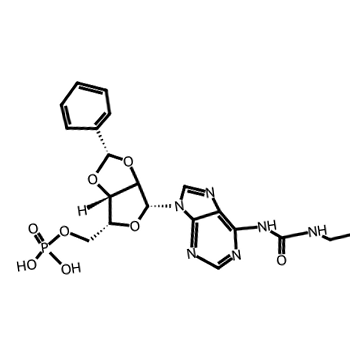 CCNC(=O)Nc1ncnc2c1ncn2[C@@H]1O[C@H](COP(=O)(O)O)[C@@H]2O[C@H](c3ccccc3)OC21